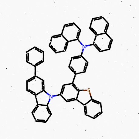 c1ccc(-c2ccc3c4ccccc4n(-c4cc(-c5ccc(N(c6cccc7ccccc67)c6cccc7ccccc67)cc5)c5sc6ccccc6c5c4)c3c2)cc1